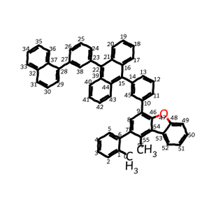 Cc1ccccc1-c1cc(-c2cccc(-c3c4ccccc4c(-c4cccc(-c5cccc6ccccc56)c4)c4ccccc34)c2)c2oc3ccccc3c2c1C